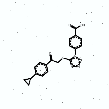 O=C(O)c1ccc(-n2nnnc2SCC(=O)c2ccc(C3CC3)cc2)cc1